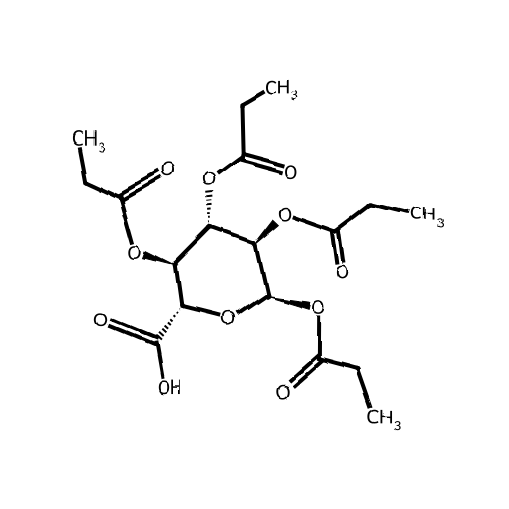 CCC(=O)O[C@H]1O[C@H](C(=O)O)[C@@H](OC(=O)CC)[C@H](OC(=O)CC)[C@H]1OC(=O)CC